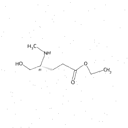 CCOC(=O)CC[C@H](CO)NC